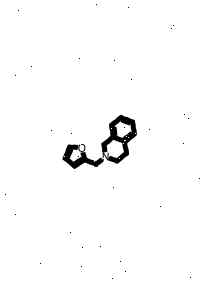 [C](c1ccco1)N1CCc2ccccc2C1